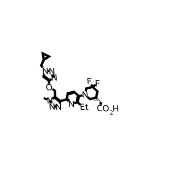 CCc1nc(-c2nnn(C)c2COc2cn(CC3CC3)nn2)ccc1N1C[C@@H](CC(=O)O)CC(F)(F)C1